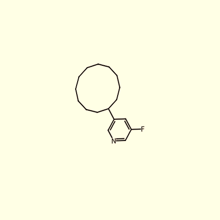 Fc1cncc(C2CCCCCCCCCCC2)c1